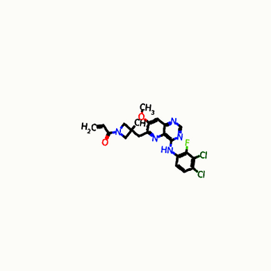 C=CC(=O)N1CC(C)(Cc2nc3c(Nc4ccc(Cl)c(Cl)c4F)ncnc3cc2OC)C1